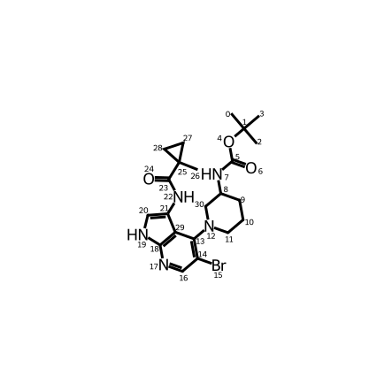 CC(C)(C)OC(=O)NC1CCCN(c2c(Br)cnc3[nH]cc(NC(=O)C4(C)CC4)c23)C1